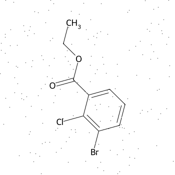 CCOC(=O)c1cccc(Br)c1Cl